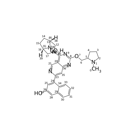 CN1CCCC1COc1nc(N2C[C@H]3CC[C@@H](C2)N3C(=O)O)c2cnc(-c3cc(O)cc4ccccc34)cc2n1